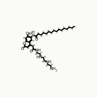 CCCCCCCCCCCCCCCC(=O)Nc1cc2c(CC(=O)NCCNCCNCCN)cc(=O)oc2cc1O